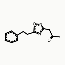 CC(=O)Cc1noc(CCc2ccccc2)n1